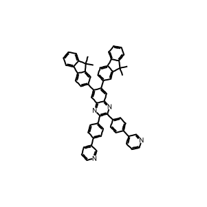 CC1(C)c2ccccc2-c2ccc(-c3cc4nc(-c5ccc(-c6cccnc6)cc5)c(-c5ccc(-c6cccnc6)cc5)nc4cc3-c3ccc4c(c3)C(C)(C)c3ccccc3-4)cc21